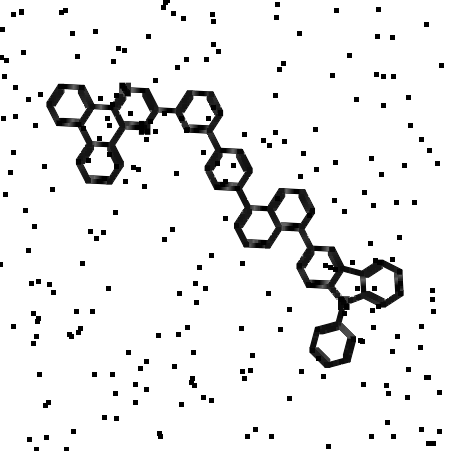 c1ccc(-n2c3ccccc3c3cc(-c4cccc5c(-c6ccc(-c7cccc(-c8cnc9c%10ccccc%10c%10ccccc%10c9n8)c7)cc6)cccc45)ccc32)cc1